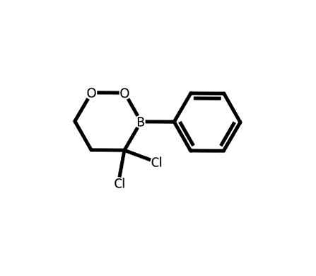 ClC1(Cl)CCOOB1c1ccccc1